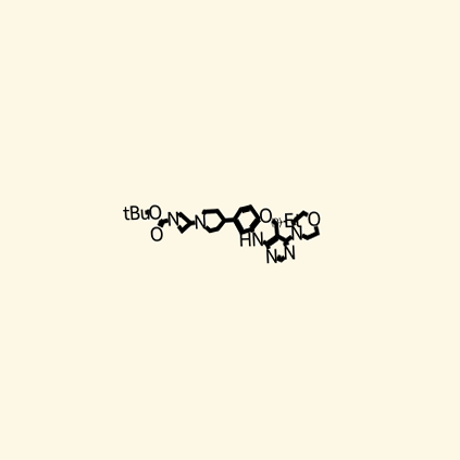 CC[C@H]1Oc2ccc(C3CCN(C4CN(C(=O)OC(C)(C)C)C4)CC3)cc2Nc2ncnc(N3CCOCC3)c21